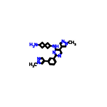 Cn1cc(-c2cccc(-c3ncc(-c4cnn(C)c4)c(NC4CC5(CC(N)C5)C4)n3)c2)cn1